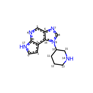 c1cc2c(ncc3ncn(C4CCCNC4)c32)[nH]1